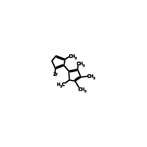 CC1=CC[C]([Zr])=C1C1=C(C)C(C)=C(C)C1C